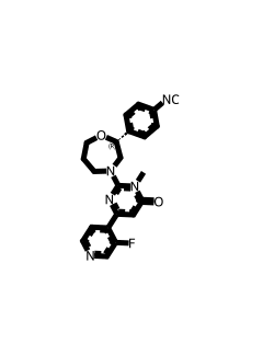 [C-]#[N+]c1ccc([C@@H]2CN(c3nc(-c4ccncc4F)cc(=O)n3C)CCCO2)cc1